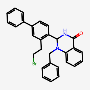 O=C1NC(c2ccc(-c3ccccc3)cc2CCBr)N(Cc2ccccc2)c2ccccc21